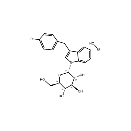 CCO.CCc1ccc(Cc2cn([C@H]3O[C@H](CO)[C@@H](O)[C@H](O)[C@H]3O)c3ccccc23)cc1